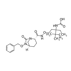 CCC(CCONC(=O)[C@@H]1CC[C@@H]2CN1C(=O)N2OCc1ccccc1)(NC(=O)O)C(C)(C)C